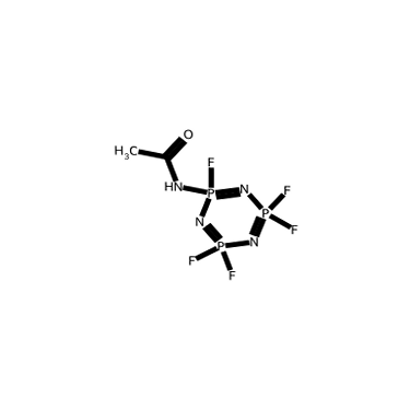 CC(=O)NP1(F)=NP(F)(F)=NP(F)(F)=N1